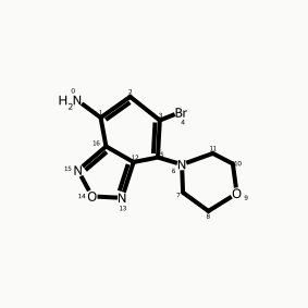 Nc1cc(Br)c(N2CCOCC2)c2nonc12